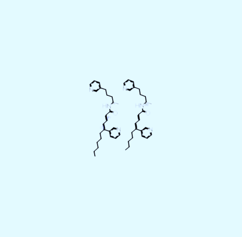 CCCCCC(=CC=CC(=O)N[C@H](C)CCCc1cccnc1)c1cccnc1.CCCCCC/C(=C/C=C/C(=O)N[C@H](C)CCCc1cccnc1)c1cccnc1